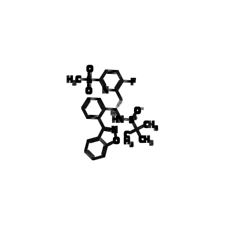 CC(C)(C)[S+]([O-])N[C@@H](Cc1nc(S(C)(=O)=O)ccc1F)c1ccccc1-c1noc2ccccc12